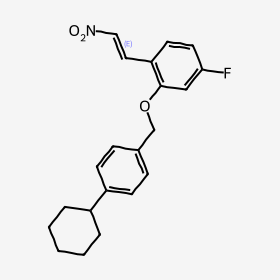 O=[N+]([O-])/C=C/c1ccc(F)cc1OCc1ccc(C2CCCCC2)cc1